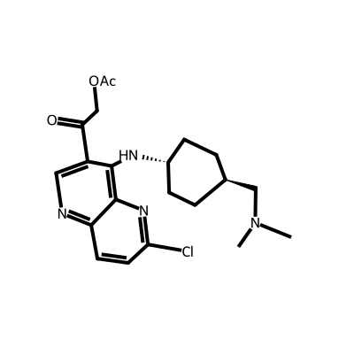 CC(=O)OCC(=O)c1cnc2ccc(Cl)nc2c1N[C@H]1CC[C@H](CN(C)C)CC1